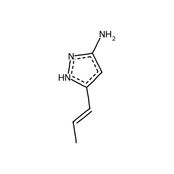 CC=Cc1cc(N)n[nH]1